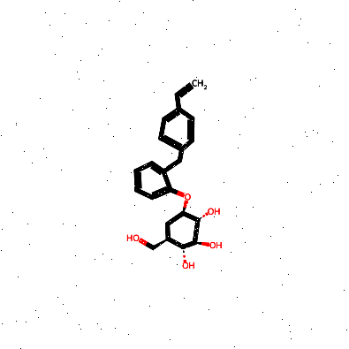 C=Cc1ccc(Cc2ccccc2O[C@@H]2C[C@H](CO)[C@@H](O)[C@H](O)[C@H]2O)cc1